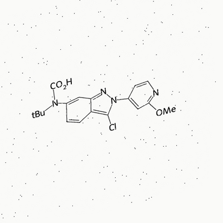 COc1cc(-n2nc3cc(N(C(=O)O)C(C)(C)C)ccc3c2Cl)ccn1